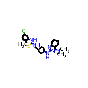 Cc1ccc(Cl)cc1NC(=S)NCC1CCC(Nc2nc(N(C)C)c3ccccc3n2)CC1